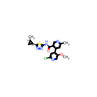 COc1cnc(Cl)cc1-c1cc(C)ncc1C(=O)Nc1nnc([C@H]2C[C@@H]2C)s1